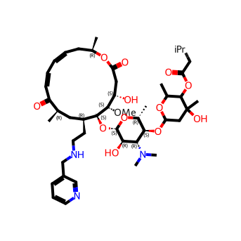 CO[C@@H]1[C@@H](O[C@@H]2O[C@H](C)[C@@H](OC3CC(C)(O)C(OC(=O)CC(C)C)C(C)O3)[C@H](N(C)C)[C@H]2O)[C@@H](CCNCc2cccnc2)C[C@@H](C)C(=O)C=CC=CC[C@@H](C)OC(=O)C[C@@H]1O